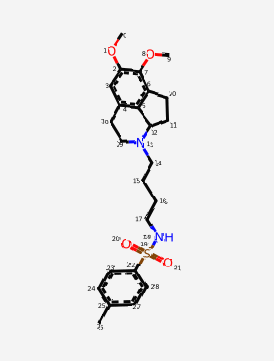 COc1cc2c3c(c1OC)CCC3N(CCCCNS(=O)(=O)c1ccc(C)cc1)CC2